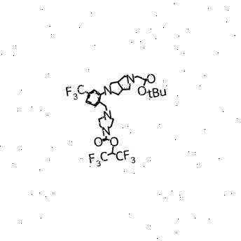 CC(C)(C)OC(=O)CN1CC2CN(c3cc(C(F)(F)F)ccc3CN3CCN(C(=O)OC(C(F)(F)F)C(F)(F)F)CC3)CC2C1